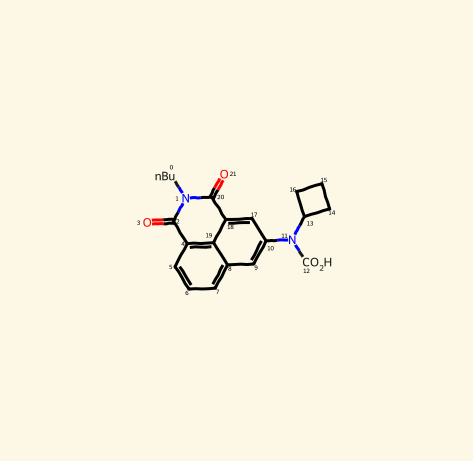 CCCCN1C(=O)c2cccc3cc(N(C(=O)O)C4CCC4)cc(c23)C1=O